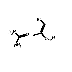 CCC=C(C)C(=O)O.NC(N)=O